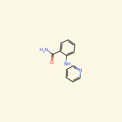 NC(=O)c1ccccc1N.c1ccncc1